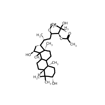 COC(C[C@@H](C)[C@H]1C[C@H](O)C2(C)C3CC[C@H]4C(C)(C)[C@@H](O)CC[C@]4(C)C3CC[C@]12C)[C@H](OC(C)=O)C(C)(C)O